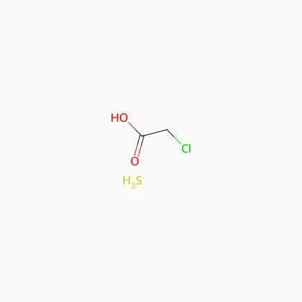 O=C(O)CCl.S